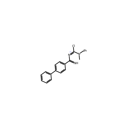 CC(C)N(C)/C(Cl)=N\C(=N)c1ccc(-c2ccccc2)cc1